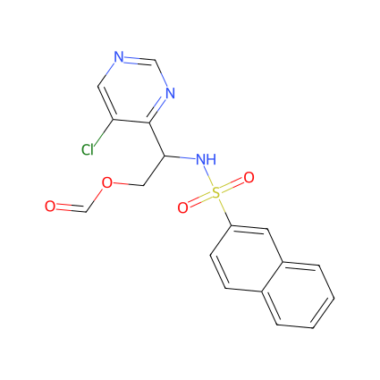 O=COCC(NS(=O)(=O)c1ccc2ccccc2c1)c1ncncc1Cl